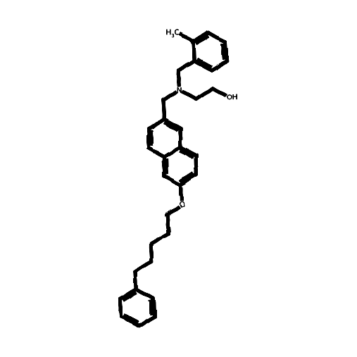 Cc1ccccc1CN(CCO)Cc1ccc2cc(OCCCCCc3ccccc3)ccc2c1